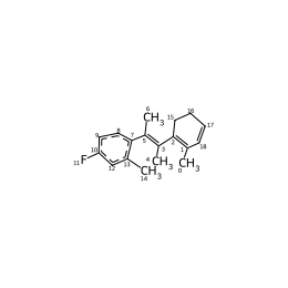 CC1=C(/C(C)=C(\C)c2ccc(F)cc2C)CCC=C1